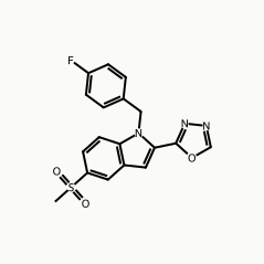 CS(=O)(=O)c1ccc2c(c1)cc(-c1nnco1)n2Cc1ccc(F)cc1